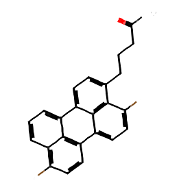 COC(=O)CCCc1ccc2c3cccc4c(Br)ccc(c5ccc(Br)c1c52)c43